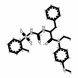 CCN(C(=O)C(Cc1ccccc1)NC(=O)NS(=O)(=O)c1ccccc1C)c1ccc(OC)cc1